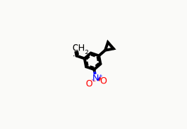 C=[C]c1cc(C2CC2)cc([N+](=O)[O-])c1